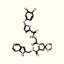 O=C(NCC(=O)N1CC2(CC1C(=O)NCc1cc3cnccc3[nH]1)OCCO2)c1ccc(Oc2ccc(Cl)c(Cl)c2)o1